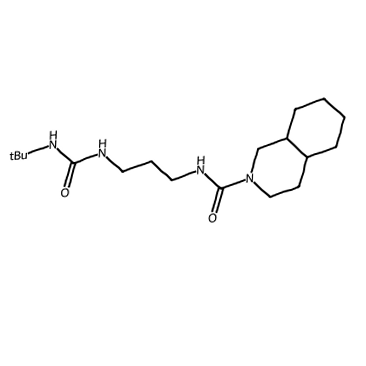 CC(C)(C)NC(=O)NCCCNC(=O)N1CCC2CCCCC2C1